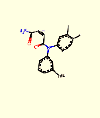 CCCCc1cccc(N(C(=O)/C=C\C(N)=O)c2ccc(C)c(C)c2)c1